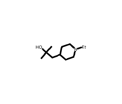 CCN1CCC(CC(C)(C)O)CC1